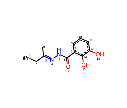 C/C(CC(C)C)=N\NC(=O)c1cccc(O)c1O